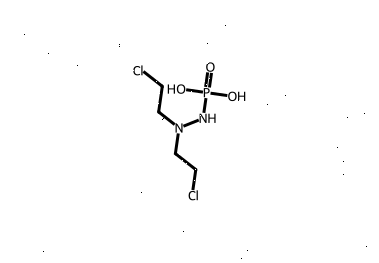 O=P(O)(O)NN(CCCl)CCCl